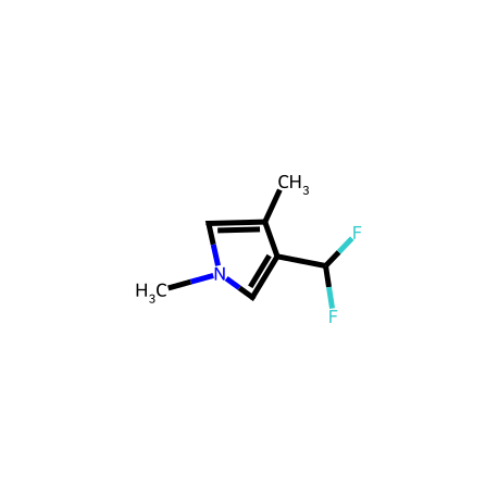 Cc1cn(C)cc1C(F)F